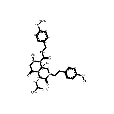 COc1ccc(CCN2C[C@H]3N(C(=O)CN(C)N3C(=O)NCc3ccc(OC)cc3)[C@@H](CC(C)C)C2=O)cc1